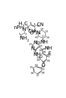 CCCN(CCN)C(C)(C)/C=C(/C#N)C(=O)N1CCC[C@@H](Nc2ncnc(N)c2C(=N)c2ccc(Oc3ccccc3)cc2F)C1